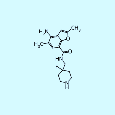 Cc1cc2c(N)c(C)cc(C(=O)NCC3(F)CCNCC3)c2o1